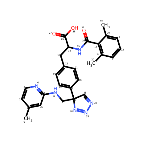 Cc1ccnc(NCC2(c3ccc(CC(NC(=O)c4c(C)cccc4C)C(=O)O)cc3)C=NN=N2)c1